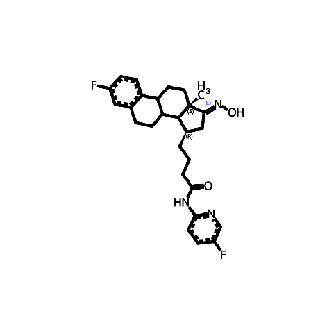 C[C@]12CCC3c4ccc(F)cc4CCC3C1[C@H](CCCC(=O)Nc1ccc(F)cn1)C/C2=N\O